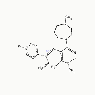 C=C/C(=C\C1=C(C)N(C)CN=C1N1CCCC(C)CC1)c1ccc(F)cc1